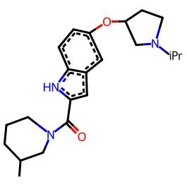 CC1CCCN(C(=O)c2cc3cc(OC4CCN(C(C)C)C4)ccc3[nH]2)C1